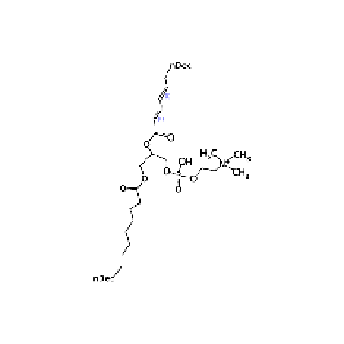 CCCCCCCCCCC/C=C/C=C/C(=O)OC(COC(=O)CCCCCCCCCCCCCCCCC)COP(=O)(O)OCC[N+](C)(C)C